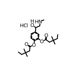 CCC(C)(C)CC(=O)Oc1ccc(C(O)CNC)cc1OC(=O)CC(C)(C)CC.Cl